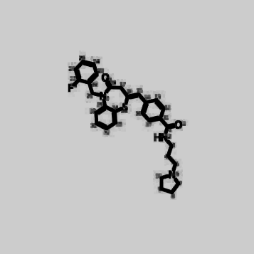 O=C(NCCCN1CCCC1)c1ccc(/C=C2/CC(=O)N(Cc3ccccc3F)c3ccccc3S2)cc1